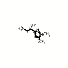 CC(C)[C@@H](CN)c1cc(C(F)(F)F)n(C)n1